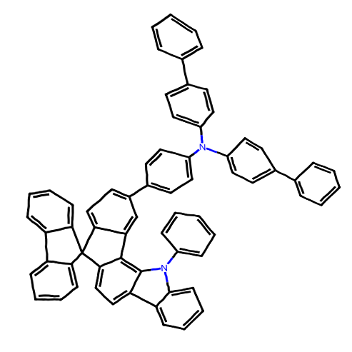 c1ccc(-c2ccc(N(c3ccc(-c4ccccc4)cc3)c3ccc(-c4ccc5c(c4)-c4c(ccc6c7ccccc7n(-c7ccccc7)c46)C54c5ccccc5-c5ccccc54)cc3)cc2)cc1